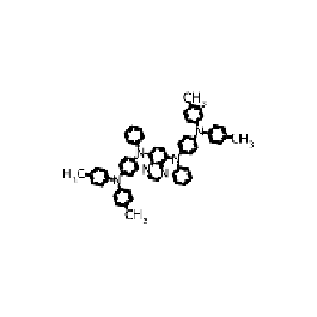 Cc1ccc(N(c2ccc(C)cc2)c2ccc(N(c3ccccc3)c3ccc(N(c4ccccc4)c4ccc(N(c5ccc(C)cc5)c5ccc(C)cc5)cc4)c4nccnc34)cc2)cc1